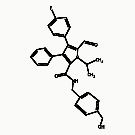 CC(C)n1c(C=O)c(-c2ccc(F)cc2)c(-c2ccccc2)c1C(=O)NCc1ccc(CO)cc1